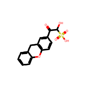 O=C(c1ccc2c(c1)Cc1ccccc1O2)C(O)S(=O)(=O)O